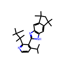 CC(C)c1ccnc(C(C)(C)C(C)(C)C)c1-c1nc2cc3c(cc2[nH]1)C(C)(C)CC3(C)C